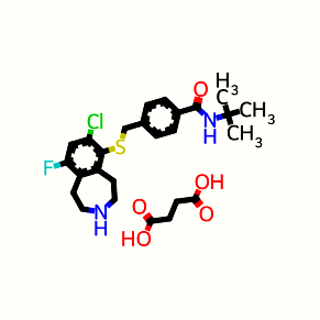 CC(C)(C)NC(=O)c1ccc(CSc2c(Cl)cc(F)c3c2CCNCC3)cc1.O=C(O)CCC(=O)O